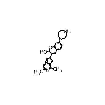 Cc1cn2cc(C3=Cc4ccc(N5CCCNCC5)cc4OC3O)cc2c(C)n1